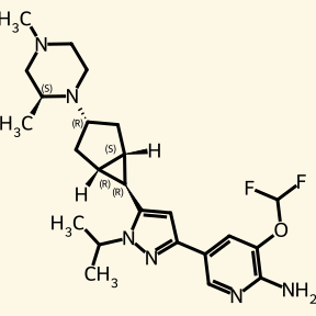 CC(C)n1nc(-c2cnc(N)c(OC(F)F)c2)cc1[C@H]1[C@@H]2C[C@H](N3CCN(C)C[C@@H]3C)C[C@@H]21